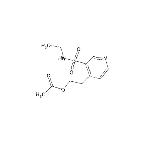 CCNS(=O)(=O)c1cnccc1CCOC(C)=O